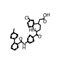 Cc1ccc(-c2ccccc2C(=O)Nc2ccc(C(=O)C3CCC(CC(=O)O)c4cc(Cl)ccc4N3)cc2)cc1